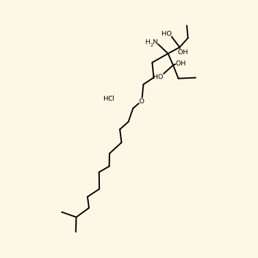 CCC(O)(O)C(N)(CCCOCCCCCCCCCCC(C)C)C(O)(O)CC.Cl